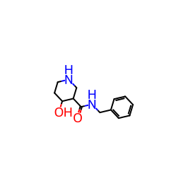 O=C(NCc1ccccc1)C1CNCCC1O